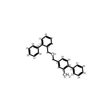 [CH2]c1cc(COCc2ccccc2-c2ccccc2)ccc1-c1ccccc1